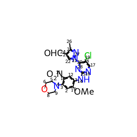 COc1cc(N2CCOCC2)c([N+](=O)[O-])cc1Nc1ncc(Cl)c(-n2cc(C=O)c(C)n2)n1